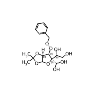 CC1(C)OC2O[C@](C(O)O)([C@H](O)CO)[C@H](OOCc3ccccc3)[C@H]2O1